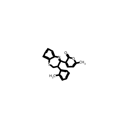 Cc1ccc(C2=Nc3ccccc3SCC2c2ccccc2C)c(=O)o1